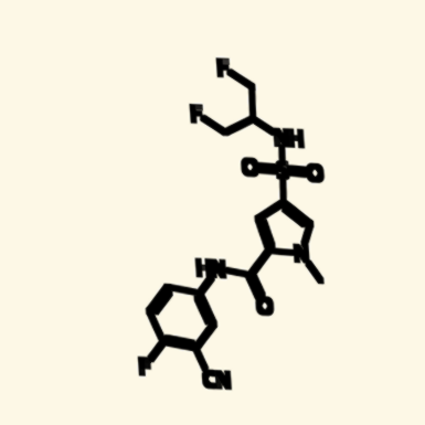 Cn1cc(S(=O)(=O)NC(CF)CF)cc1C(=O)Nc1ccc(F)c(C#N)c1